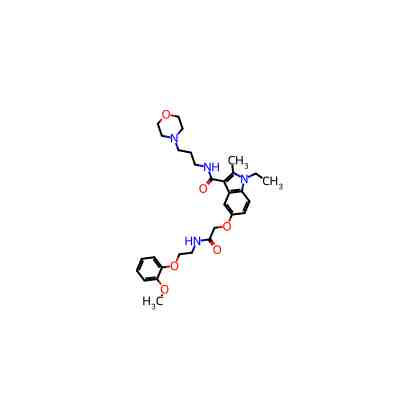 CCn1c(C)c(C(=O)NCCCN2CCOCC2)c2cc(OCC(=O)NCCOc3ccccc3OC)ccc21